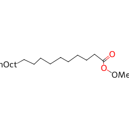 CCCCCCCCCCCCCCCCCC(=O)OOC